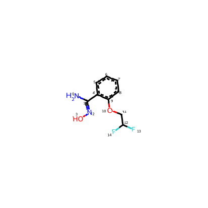 NC(=NO)c1ccccc1OCC(F)F